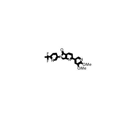 COc1cc(-c2ccc3c(n2)CN(c2ccc(C(C)(F)F)nc2)C3=O)cnc1OC